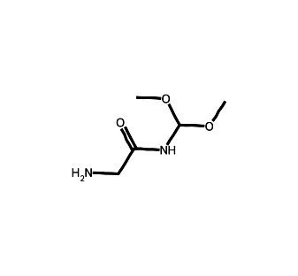 COC(NC(=O)CN)OC